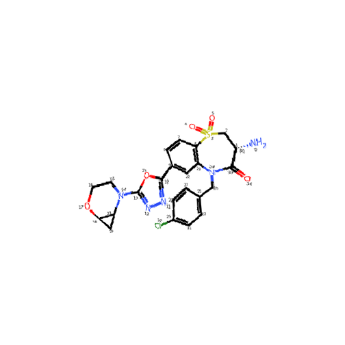 N[C@H]1CS(=O)(=O)c2ccc(-c3nnc(N4CCOC5CC54)o3)cc2N(Cc2ccc(Cl)cc2)C1=O